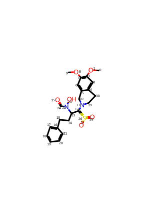 COc1cc2c(cc1OC)CN(C(C(CCc1ccccc1)N(O)C=O)=S(=O)=O)CC2